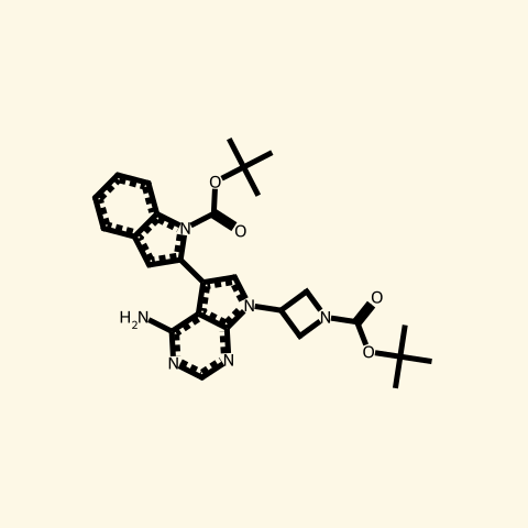 CC(C)(C)OC(=O)N1CC(n2cc(-c3cc4ccccc4n3C(=O)OC(C)(C)C)c3c(N)ncnc32)C1